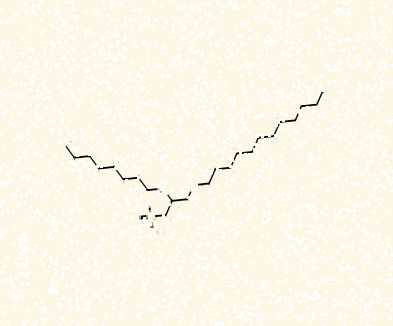 CCCCCCCCCCCCSCC(CP(=O)(O)O)OCCCCCCCC